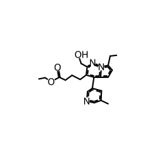 CCOC(=O)CCCc1c(CO)nn2c(CC)ccc2c1-c1cncc(C)c1